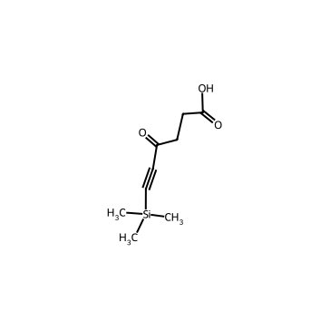 C[Si](C)(C)C#CC(=O)CCC(=O)O